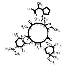 CC(C(=O)O)C1CCCC1.CC[C@H]1OC(=O)[C@H](C)[C@@H](O[C@H]2C[C@@](C)(OC)[C@@H](O)[C@H](C)O2)[C@@H](C)[C@@H](O[C@@H]2O[C@H](C)C[C@H](N(C)C)[C@H]2O)[C@](C)(O)C[C@@H](C)C(=O)[C@H](C)[C@H](O)[C@]1(C)O